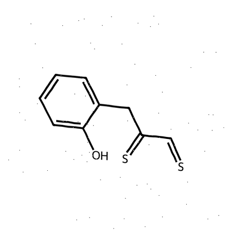 Oc1ccccc1CC(=S)C=S